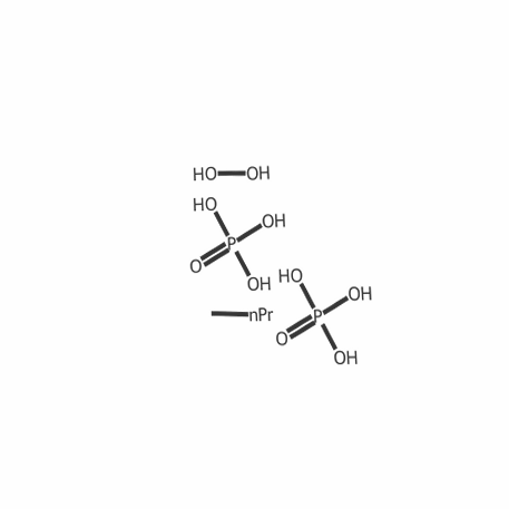 CCCC.O=P(O)(O)O.O=P(O)(O)O.OO